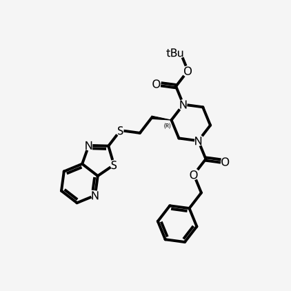 CC(C)(C)OC(=O)N1CCN(C(=O)OCc2ccccc2)C[C@H]1CCSc1nc2cccnc2s1